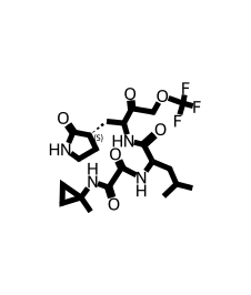 CC(C)CC(NC(=O)C(=O)NC1(C)CC1)C(=O)NC(C[C@@H]1CCNC1=O)C(=O)COC(F)(F)F